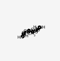 Cc1c(NC(=O)C2=NC3=C(CNCC3)CO2)cccc1-c1cccc(NC(=O)c2nc3c(o2)CNCC3)c1C